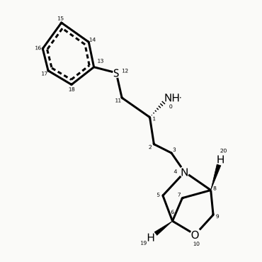 [NH][C@H](CCN1C[C@@H]2C[C@H]1CO2)CSc1ccccc1